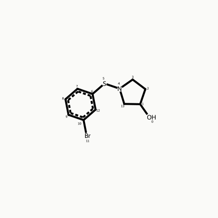 OC1CCN(Sc2cccc(Br)c2)C1